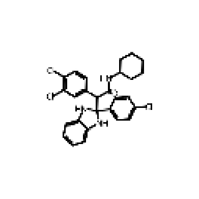 O=C(NC1CCCCC1)C(c1ccc(Cl)c(Cl)c1)C1(c2ccc(Cl)cc2)Nc2ccccc2N1